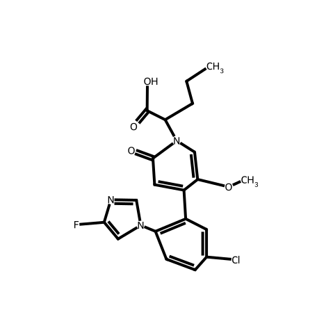 CCCC(C(=O)O)n1cc(OC)c(-c2cc(Cl)ccc2-n2cnc(F)c2)cc1=O